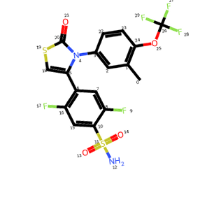 Cc1cc(-n2c(-c3cc(F)c(S(N)(=O)=O)cc3F)csc2=O)ccc1OC(F)(F)F